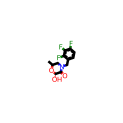 CC1CN(Cc2ccc(F)c(F)c2F)C(=O)[C@H](O)O1